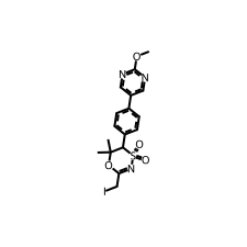 COc1ncc(-c2ccc(C3C(C)(C)OC(CI)=NS3(=O)=O)cc2)cn1